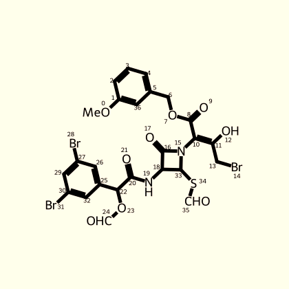 COc1cccc(COC(=O)C(=C(O)CBr)N2C(=O)C(NC(=O)C(OC=O)c3cc(Br)cc(Br)c3)C2SC=O)c1